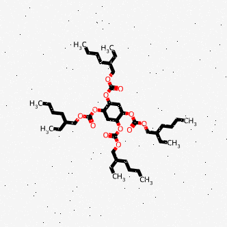 CCCCC(CC)COC(=O)OC1CC(OC(=O)OCC(CC)CCCC)C(OC(=O)OCC(CC)CCCC)CC1OC(=O)OCC(CC)CCCC